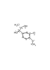 COc1ccc([C@@H](O)[C@H](C)O)cc1Cl